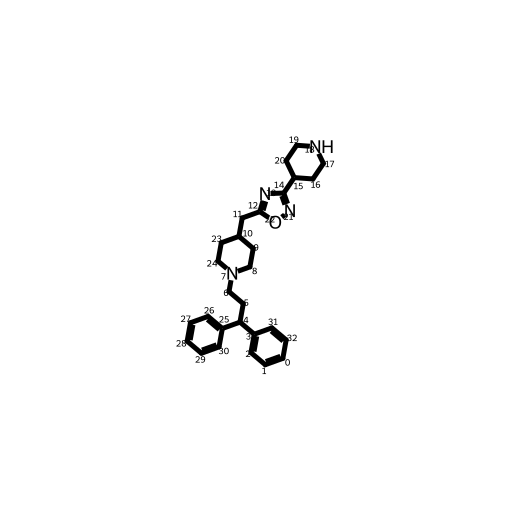 c1ccc(C(CCN2CCC(Cc3nc(C4CCNCC4)no3)CC2)c2ccccc2)cc1